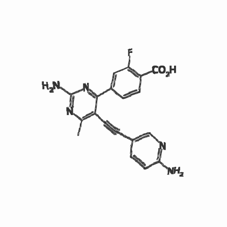 Cc1nc(N)nc(-c2ccc(C(=O)O)c(F)c2)c1C#Cc1ccc(N)nc1